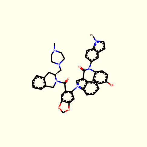 CC(C)n1ccc2cc(N(C(=O)c3cn(-c4cc5c(cc4C(=O)N4Cc6ccccc6C[C@H]4CN4CCN(C)CC4)OCO5)c4ccccc34)c3ccc(O)cc3)ccc21